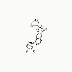 CCC(Oc1cc2c(Nc3ccc(F)c(Cl)c3)ncnc2cc1OC)C1COCCN1